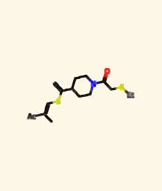 C=C(S/C=C(\C)C(C)=O)C1CCN(C(=O)CSCC)CC1